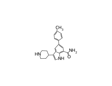 Cc1ccc(-c2cc(C(N)=O)c3[nH]cc(C4CCNCC4)c3c2)cc1